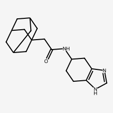 O=C(CC12CC3CC(CC(C3)C1)C2)NC1CCc2[nH]cnc2C1